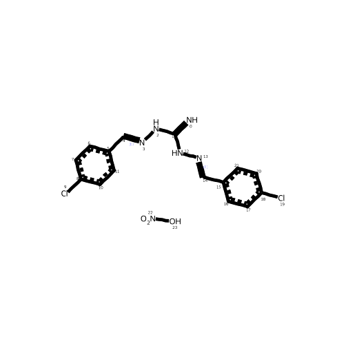 N=C(N/N=C/c1ccc(Cl)cc1)N/N=C/c1ccc(Cl)cc1.O=[N+]([O-])O